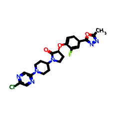 Cc1nnc(C2C=C(F)C(O[C@H]3CCN(C4CCN(c5cnc(Cl)cn5)CC4)C3=O)=CC2)o1